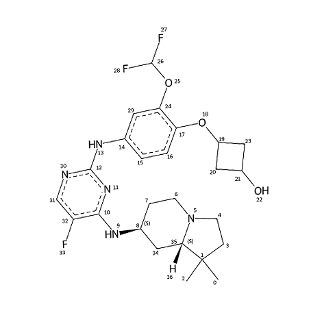 CC1(C)CCN2CC[C@H](Nc3nc(Nc4ccc(OC5CC(O)C5)c(OC(F)F)c4)ncc3F)C[C@H]21